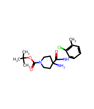 Cc1cccc(NC(=O)C2(N)CCN(C(=O)OC(C)(C)C)CC2)c1Cl